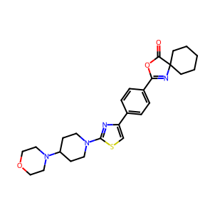 O=C1OC(c2ccc(-c3csc(N4CCC(N5CCOCC5)CC4)n3)cc2)=NC12CCCCC2